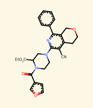 CCOC(=O)C1CN(c2nc(-c3ccccc3)c3c(c2C#N)CCOC3)CCN1C(=O)c1ccoc1